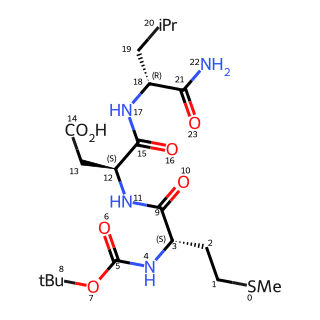 CSCC[C@H](NC(=O)OC(C)(C)C)C(=O)N[C@@H](CC(=O)O)C(=O)N[C@H](CC(C)C)C(N)=O